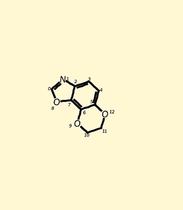 c1nc2ccc3c(c2o1)OCCO3